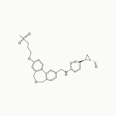 CS(=O)(=O)CCCOc1ccc2c(c1)COCc1ccc(CNc3ccc([C@H]4C[C@@H]4[C]=O)cc3)cc1-2